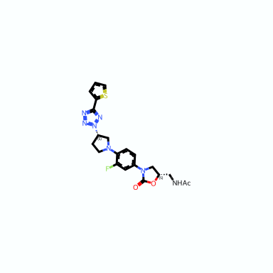 CC(=O)NC[C@H]1CN(c2ccc(N3CC[C@H](n4nnc(-c5cccs5)n4)C3)c(F)c2)C(=O)O1